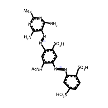 CSc1nc(N)c(/N=N/c2cc(NC(C)=O)c(/N=N/c3cc(S(=O)(=O)O)ccc3S(=O)(=O)O)cc2S(=O)(=O)O)c(N)n1